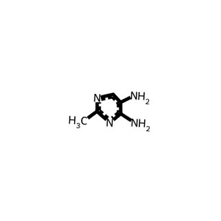 Cc1ncc(N)c(N)n1